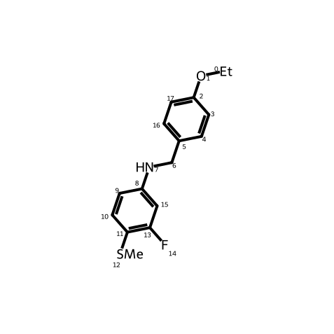 CCOc1ccc(CNc2ccc(SC)c(F)c2)cc1